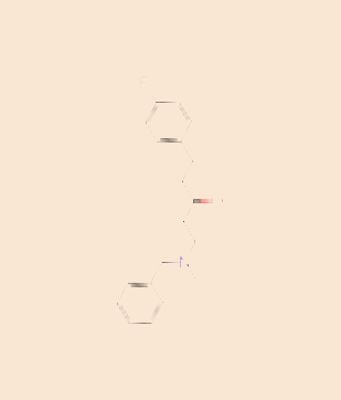 CN(CCC(=O)CCc1ccc(F)cc1)Cc1ccccc1